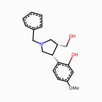 COc1ccc([C@@H]2CN(Cc3ccccc3)C[C@@H]2CO)c(O)c1